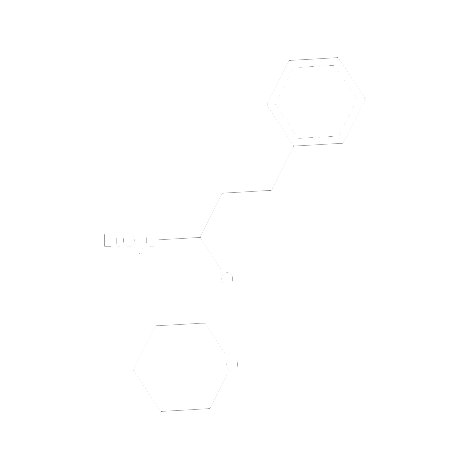 CCOC(=O)C(CCc1ccccc1)O[C@H]1CCCCO1